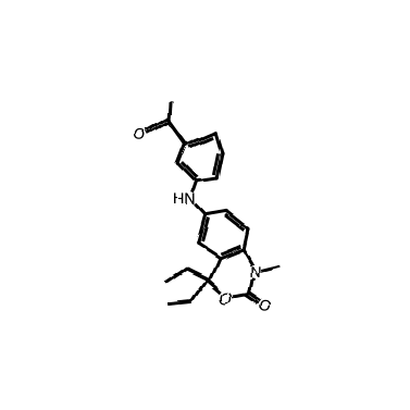 CCC1(CC)OC(=O)N(C)c2ccc(Nc3cccc(C(C)=O)c3)cc21